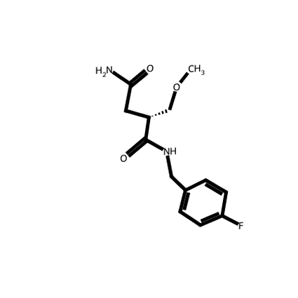 COC[C@@H](CC(N)=O)C(=O)NCc1ccc(F)cc1